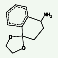 NC1CCC2(OCCO2)c2ccccc21